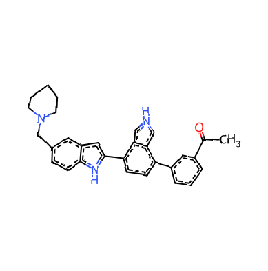 CC(=O)c1cccc(-c2ccc(-c3cc4cc(CN5CCCCC5)ccc4[nH]3)c3c[nH]cc23)c1